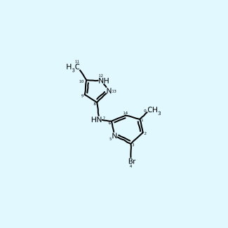 Cc1cc(Br)nc(Nc2cc(C)[nH]n2)c1